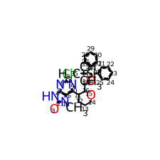 Cn1c(=O)[nH]c2nc(Cl)nc(C3CCCOC3CO[Si](c3ccccc3)(c3ccccc3)C(C)(C)C)c21